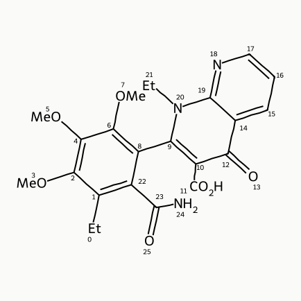 CCc1c(OC)c(OC)c(OC)c(-c2c(C(=O)O)c(=O)c3cccnc3n2CC)c1C(N)=O